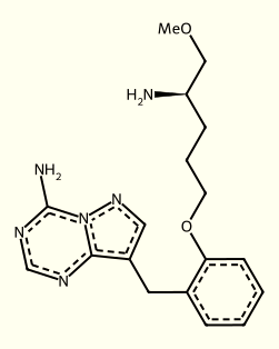 COC[C@H](N)CCCOc1ccccc1Cc1cnn2c(N)ncnc12